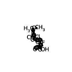 CCOC1(C)CN(c2cc(Cl)c(C(=O)N3COc4c(cccc4-c4cc(N5C6CCC5COC6)c(C(=O)O)cc4F)C3)c(Cl)c2)C1